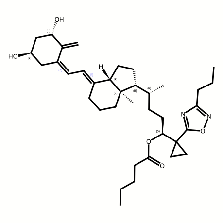 C=C1/C(=C\C=C2/CCC[C@]3(C)[C@@H]([C@H](C)CC[C@H](OC(=O)CCCC)C4(c5nc(CCC)no5)CC4)CC[C@@H]23)C[C@@H](O)C[C@@H]1O